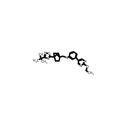 CCOc1ncc(-c2cccc(NCC34CCC(c5nc(C(C)(C)C)no5)(CC3)C4)c2)cn1